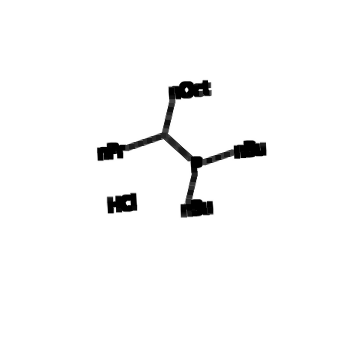 CCCCCCCCC(CCC)P(CCCC)CCCC.Cl